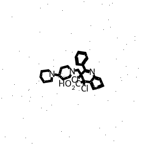 O=C(O)C1(Cl)c2ccccc2N=C(c2ccccc2)C1(Cl)CN1CCC(N2CCCCC2)CC1